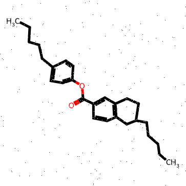 CCCCCc1ccc(OC(=O)c2ccc3c(c2)CCC(CCCCC)C3)cc1